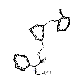 CO/C=C(\C(=O)OOc1cc(Oc2ccccc2C)ncn1)c1ccccc1